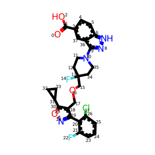 O=C(O)c1ccc2[nH]nc(N3CCC(F)(COCc4c(-c5c(F)cccc5Cl)noc4C4CC4)CC3)c2c1